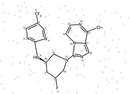 FC1C[C@@H](Nc2ncc(C(F)(F)F)cn2)CN(c2ncc3c(Cl)nccn23)C1